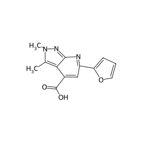 Cc1c2c(C(=O)O)cc(-c3ccco3)nc2nn1C